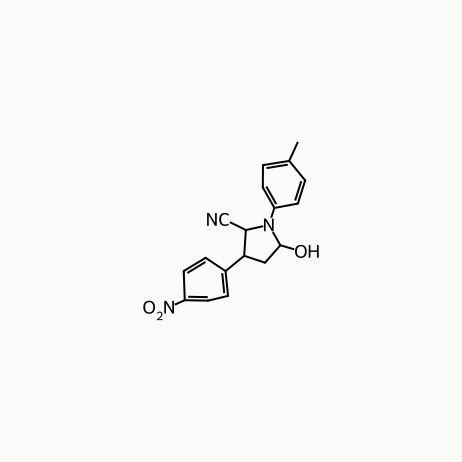 Cc1ccc(N2C(O)CC(c3ccc([N+](=O)[O-])cc3)C2C#N)cc1